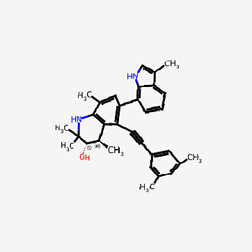 Cc1cc(C)cc(C#Cc2c(-c3cccc4c(C)c[nH]c34)cc(C)c3c2[C@@H](C)[C@H](O)C(C)(C)N3)c1